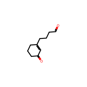 O=CCCCC1=CC(=O)CCC1